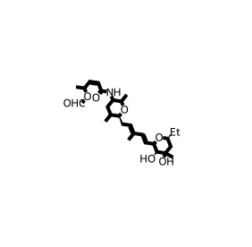 CC[C@@H]1CC(C)(O)[C@H](O)C(/C=C/C(C)=C/C[C@@H]2OC(C)C(NC(=O)/C=C\C(C)OC=O)CC2C)O1